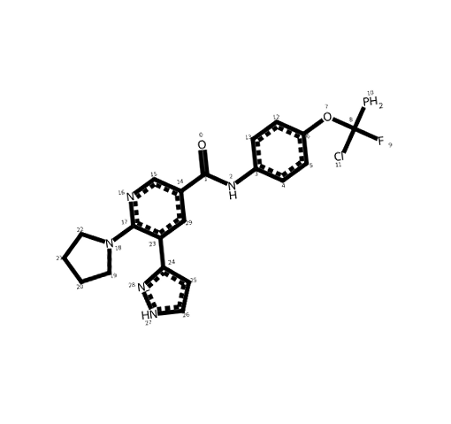 O=C(Nc1ccc(OC(F)(P)Cl)cc1)c1cnc(N2CCCC2)c(-c2cc[nH]n2)c1